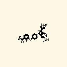 CNc1cc2c(cn1)c(-c1cnn(C)c1)nn2[C@H]1CC[C@@H](Oc2cccc(C(=O)N(C)C)c2F)CC1